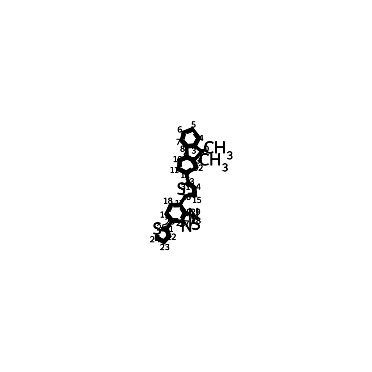 CC1(C)c2ccccc2-c2ccc(-c3ccc(-c4ccc(-c5cccs5)c5nsnc45)s3)cc21